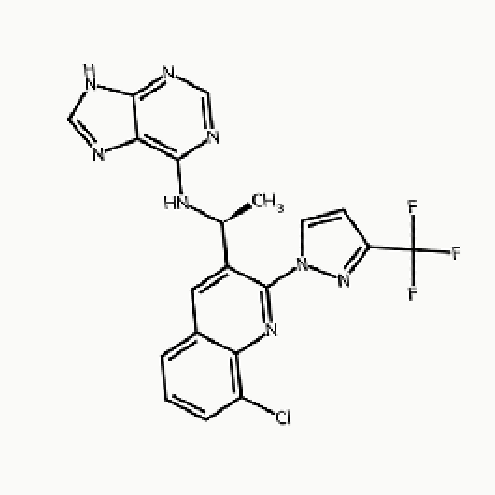 C[C@H](Nc1ncnc2[nH]cnc12)c1cc2cccc(Cl)c2nc1-n1ccc(C(F)(F)F)n1